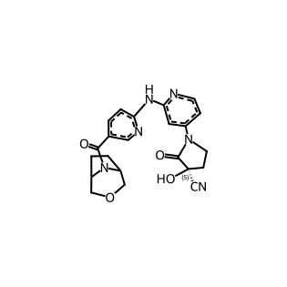 N#C[C@@]1(O)CCN(c2ccnc(Nc3ccc(C(=O)N4C5CCC4COC5)cn3)c2)C1=O